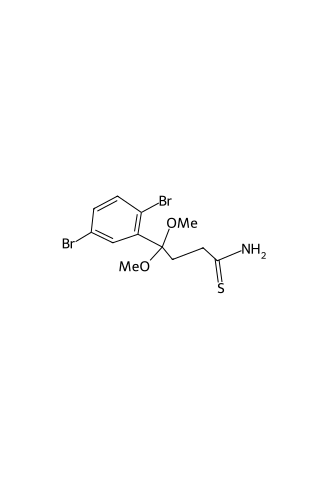 COC(CCC(N)=S)(OC)c1cc(Br)ccc1Br